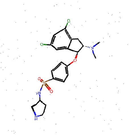 CN(C)[C@H]1Cc2c(Cl)cc(Cl)cc2[C@@H]1Oc1ccc(S(=O)(=O)NC2CCNC2)cc1